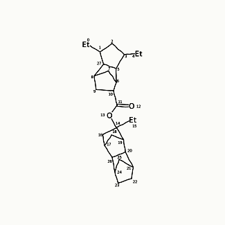 CCC1CC(CC)C2C3CC(CC3C(=O)OC3(CC)CC4CC3C3C5CCC(C5)C43)C12